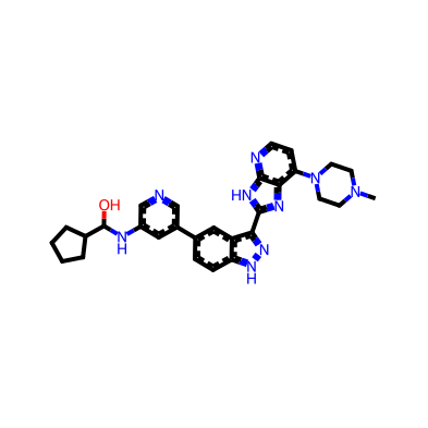 CN1CCN(c2ccnc3[nH]c(-c4n[nH]c5ccc(-c6cncc(NC(O)C7CCCC7)c6)cc45)nc23)CC1